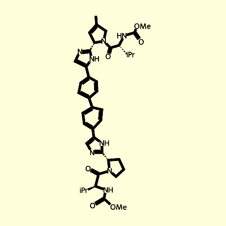 COC(=O)N[C@H](C(=O)N1CCC[C@H]1c1ncc(-c2ccc(-c3ccc(-c4cnc([C@@H]5C=C(C)CN5C(=O)[C@H](NC(=O)OC)C(C)C)[nH]4)cc3)cc2)[nH]1)C(C)C